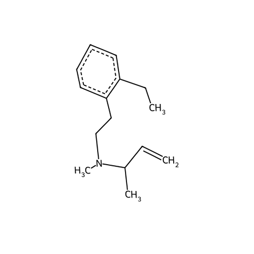 C=CC(C)N(C)CCc1ccccc1CC